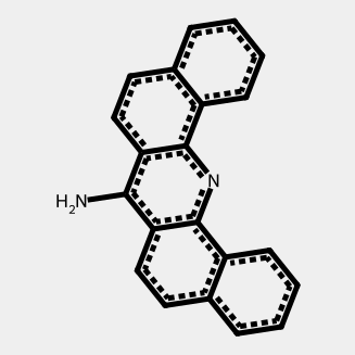 Nc1c2ccc3ccccc3c2nc2c1ccc1ccccc12